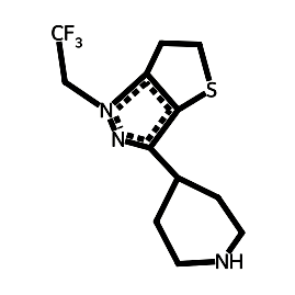 FC(F)(F)Cn1nc(C2CCNCC2)c2c1CCS2